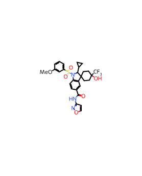 COc1cccc(S(=O)(=O)N2c3ccc(C(=O)Nc4ccon4)cc3C3(CCC(O)(C(F)(F)F)CC3)C2C2CC2)c1